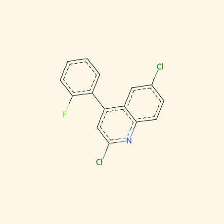 Fc1ccccc1-c1cc(Cl)nc2ccc(Cl)cc12